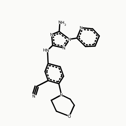 N#Cc1cc(Nc2nc(N)n(-c3ccccn3)n2)ccc1N1CCOCC1